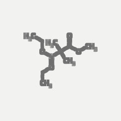 CCO[SiH](OCC)C(C)(C)C(=O)OC